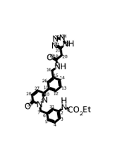 CCOC(=O)Nc1cccc(Cn2nc(-c3cccc(CNC(=O)Cc4nnn[nH]4)c3)ccc2=O)c1